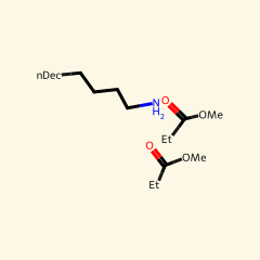 CCC(=O)OC.CCC(=O)OC.CCCCCCCCCCCCCCN